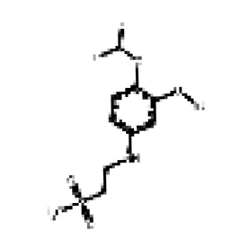 CCOc1cc(NCCS(C)(=O)=O)ccc1OC(F)F